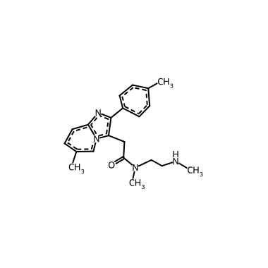 CNCCN(C)C(=O)Cc1c(-c2ccc(C)cc2)nc2ccc(C)cn12